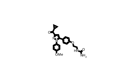 COc1ccc(-n2nc(C(=O)C3CC3)cc2-c2ccc(OCCNC(N)=O)cc2)cc1